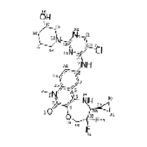 Cn1c(=O)c2c(c3cc(Nc4nc(N5CCC[C@H](O)C5)ncc4Cl)ccc31)N[C@@H](C1CC1)C(F)(F)CO2